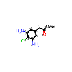 COC(=O)Cc1cc(N)c(Cl)c(N)c1